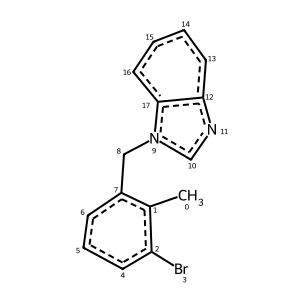 Cc1c(Br)cccc1Cn1cnc2ccccc21